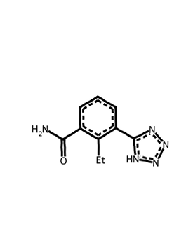 CCc1c(C(N)=O)cccc1-c1nnn[nH]1